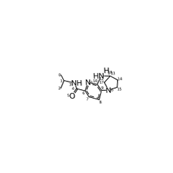 CC(C)NC(=O)c1ccc2c(n1)N[C@H]1CCN2C1